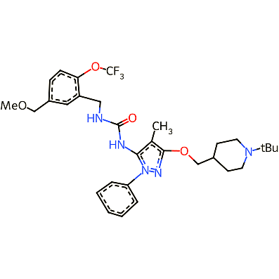 COCc1ccc(OC(F)(F)F)c(CNC(=O)Nc2c(C)c(OCC3CCN(C(C)(C)C)CC3)nn2-c2ccccc2)c1